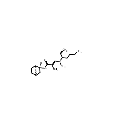 C=CC(CCCC)N(N)/C=C(\N)C(=O)N[C@H]1CN2CCC1CC2